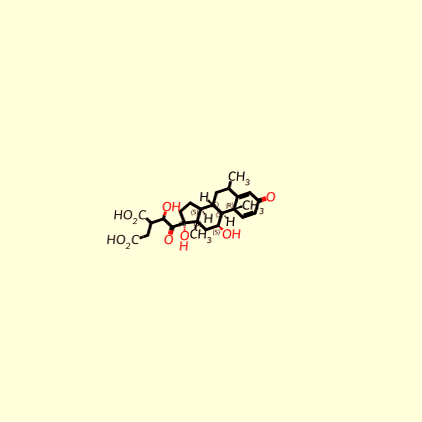 CC1C[C@@H]2[C@H]([C@@H](O)C[C@@]3(C)[C@H]2CC[C@]3(O)C(=O)C(O)C(CC(=O)O)C(=O)O)[C@@]2(C)C=CC(=O)C=C12